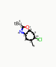 Cc1cc2nc(C(C)(C)C)oc2cc1Cl